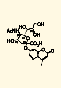 CC(=O)N[C@@H]1[C@@H](O)C[C@](Oc2ccc3c(C)cc(=O)oc3c2)(C(=O)O)O[C@H]1C(O)[C@H](O)CO